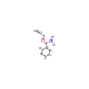 C#CCOC(c1ccccc1)N(C)C